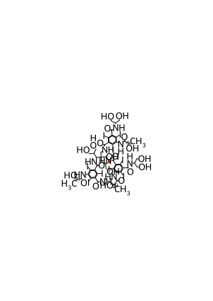 C[C@H](O)C(=O)Nc1c(I)c(C(N)=O)c(I)c(C(=O)NC(C(CO)CO)C(CNC(=O)c2c(I)c(NC(=O)[C@H](C)O)c(I)c(C(=O)NC(CO)CO)c2I)(CNC(=O)c2c(I)c(NC(=O)[C@H](C)O)c(I)c(C(=O)NC(CO)CO)c2I)CC(CO)CO)c1I